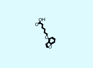 O=C(O)CCCCCOc1cccc2occc12